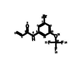 C=CC(=O)Nc1cc(Br)cc(OC(F)(F)F)c1